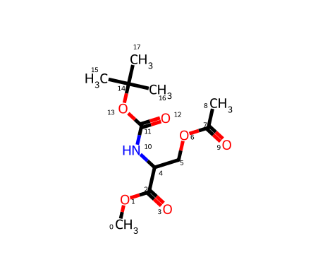 COC(=O)C(COC(C)=O)NC(=O)OC(C)(C)C